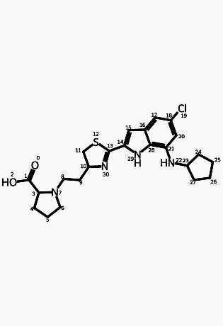 O=C(O)C1CCCN1CCC1CSC(c2cc3cc(Cl)cc(NC4CCCC4)c3[nH]2)=N1